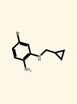 Nc1ccc(Br)cc1NCC1CC1